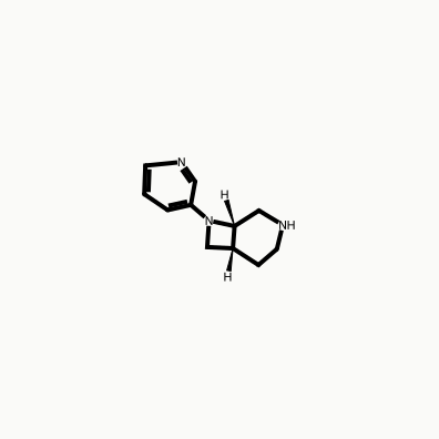 c1cncc(N2C[C@H]3CCNC[C@H]32)c1